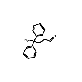 C=CCCC(C)(c1ccccc1)c1ccccc1